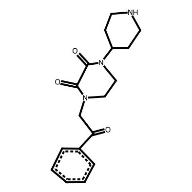 O=C(CN1CCN(C2CCNCC2)C(=O)C1=O)c1ccccc1